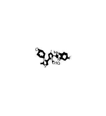 CC1SC=C(C2C[C@H](C)[C@@H](c3nc4cc(F)ccc4[nH]3)N2C=O)N1c1ccc(Cl)cc1